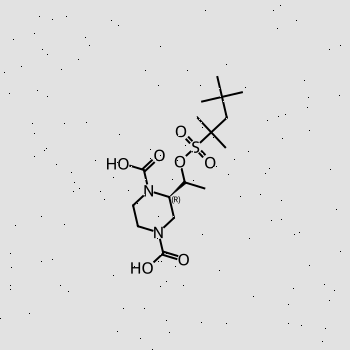 CC(OS(=O)(=O)C(C)(C)CC(C)(C)C)[C@H]1CN(C(=O)O)CCN1C(=O)O